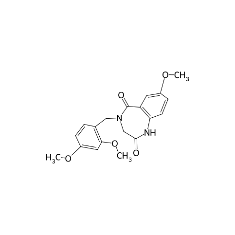 COc1ccc(CN2CC(=O)Nc3ccc(OC)cc3C2=O)c(OC)c1